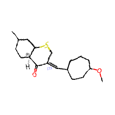 COC1CCCC(/C=C2\CSC3CC(C)CC[C@@H]3C2=O)CC1